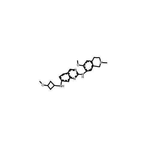 COc1cc2c(cc1Nc1ncc3ccc(NC4CC(OC)C4)cc3n1)CN(C)CC2